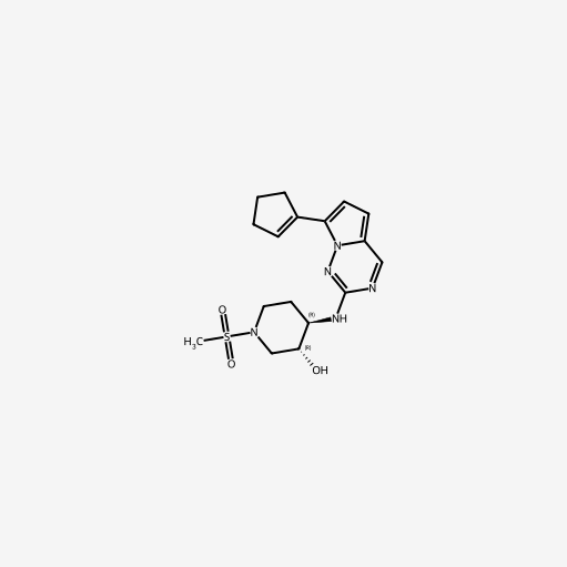 CS(=O)(=O)N1CC[C@@H](Nc2ncc3ccc(C4=CCCC4)n3n2)[C@H](O)C1